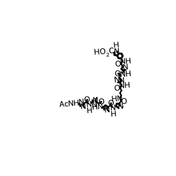 CC(=O)Nc1cn(C)c(C(=O)Nc2cn(C)c(C(=O)Nc3cc(C(=O)Nc4cc(C(=O)NCCCC(=O)Nc5cn(C)c(C(=O)Nc6cc(C(=O)Nc7ccc8[nH]c(C(=O)O)cc8c7)n(C)c6)n5)n(C)c4)n(C)c3)n2)n1